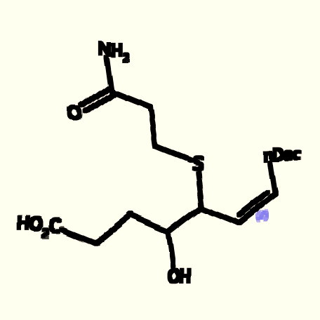 CCCCCCCCCC/C=C\C(SCCC(N)=O)C(O)CCC(=O)O